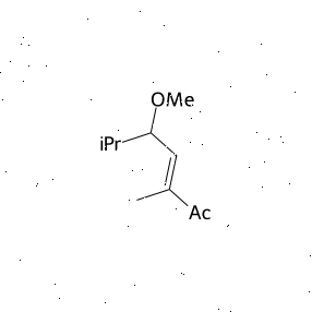 COC(C=C(C)C(C)=O)C(C)C